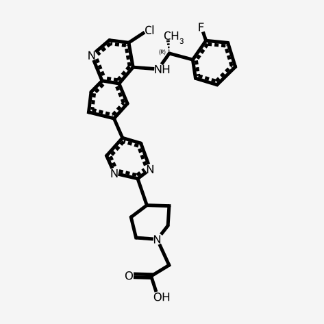 C[C@@H](Nc1c(Cl)cnc2ccc(-c3cnc(C4CCN(CC(=O)O)CC4)nc3)cc12)c1ccccc1F